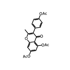 CC(=O)Oc1ccc(-c2c(C)oc3cc(OC(C)=O)cc(OC(C)=O)c3c2=O)cc1